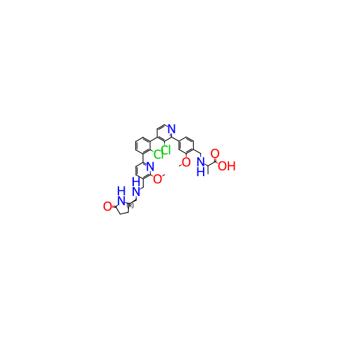 COc1cc(-c2nccc(-c3cccc(-c4ccc(CNC[C@H]5CCC(=O)N5)c(OC)n4)c3Cl)c2Cl)ccc1CNC(C)C(=O)O